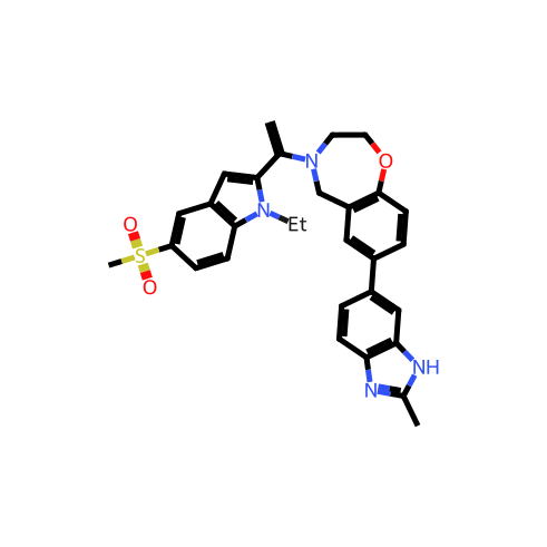 C=C(c1cc2cc(S(C)(=O)=O)ccc2n1CC)N1CCOc2ccc(-c3ccc4nc(C)[nH]c4c3)cc2C1